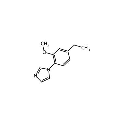 CCc1ccc(-n2ccnc2)c(OC)c1